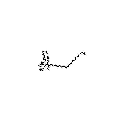 CCCCCCCC/C=C\CCCCCCCC(=O)C(OP(=O)(O)OCCN)[C@H](CO)OO